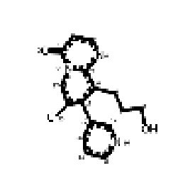 O=c1ccnc2c(CCCO)c(-c3cccnc3)c(Cl)cn12